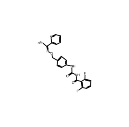 CCCC(=NOCc1ccc(NC(=O)NC(=O)c2c(F)cccc2F)cc1)c1ccccn1